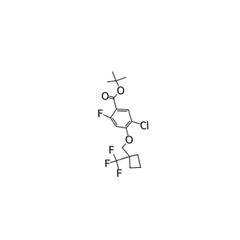 CC(C)(C)OC(=O)c1cc(Cl)c(OCC2(C(F)(F)F)CCC2)cc1F